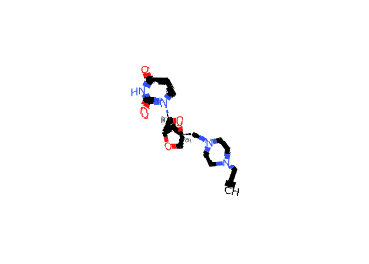 C#CCN1CCN(C[C@]23COC(C2)[C@H](n2ccc(=O)[nH]c2=O)O3)CC1